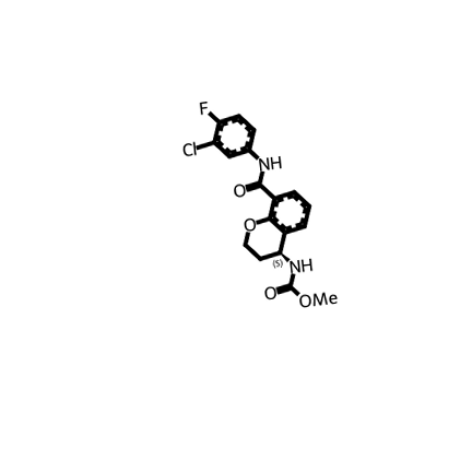 COC(=O)N[C@H]1CCOc2c(C(=O)Nc3ccc(F)c(Cl)c3)cccc21